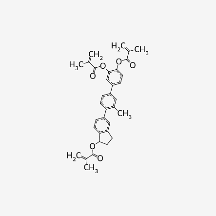 C=C(C)C(=O)Oc1ccc(-c2ccc(-c3ccc4c(c3)CCC4OC(=O)C(=C)C)c(C)c2)cc1OC(=O)C(=C)C